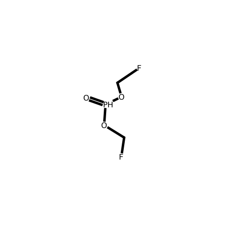 O=[PH](OCF)OCF